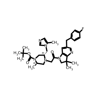 Cc1cncn1C[C@H]1CN(C(=O)OC(C)(C)C)[C@H](C)CN1CC(=O)N1CC(C)(C)c2ncc(Cc3ccc(F)cc3)cc21